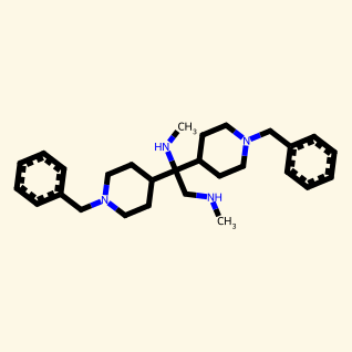 CNCC(NC)(C1CCN(Cc2ccccc2)CC1)C1CCN(Cc2ccccc2)CC1